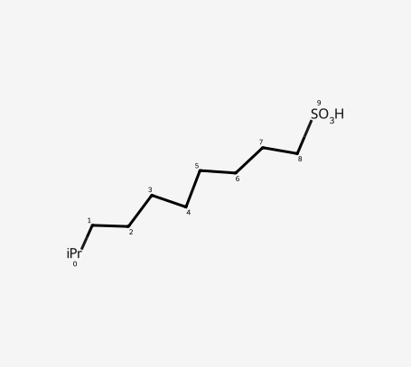 CC(C)CCCCCCCCS(=O)(=O)O